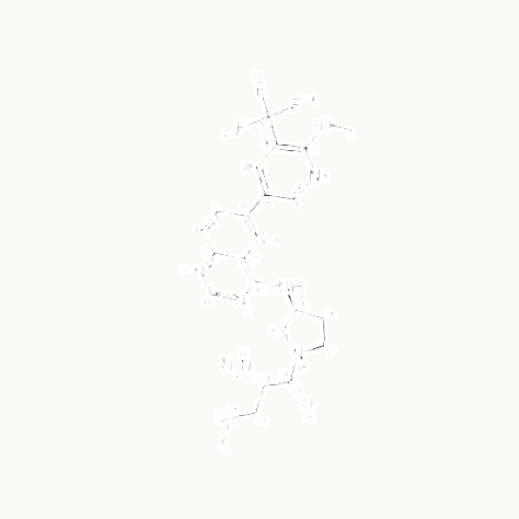 COc1ncc(-c2ccc3ncnc(N[C@H]4CCN(C(=O)[C@@H](N)C[Se]C)C4)c3n2)cc1C(F)(F)F